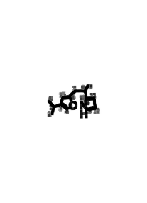 CC(C)c1coc(CC(C)c2ccc[nH]2)c1